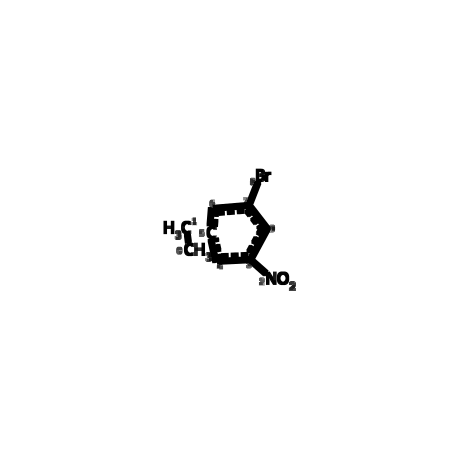 CC.O=[N+]([O-])c1cccc(Br)c1